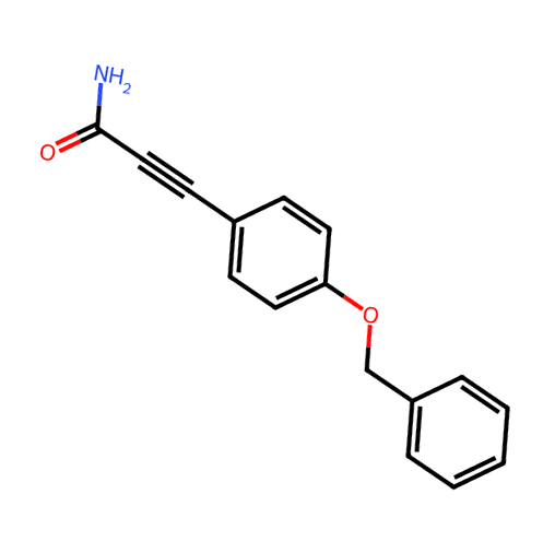 NC(=O)C#Cc1ccc(OCc2ccccc2)cc1